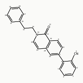 N#Cc1ccccc1-c1ccc2c(=O)n(CCc3ccccc3)ccc2c1